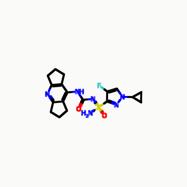 N[S@@](=O)(=NC(=O)Nc1c2c(nc3c1CCC3)CCC2)c1nn(C2CC2)cc1F